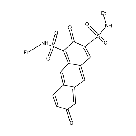 CCNS(=O)(=O)C1=Cc2cc3c(cc2=C(S(=O)(=O)NCC)C1=O)C=CC(=O)C=3